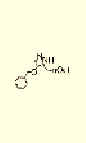 CCCCCCCCCc1[nH]ncc1OCc1ccccc1